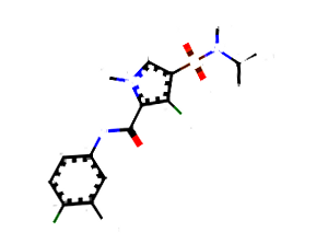 C[C@@H](N(C)S(=O)(=O)c1cn(C)c(C(=O)Nc2ccc(F)c(C(F)(F)F)c2)c1Cl)C(F)(F)F